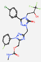 CNC(=O)OCc1nc(Cn2nc(-c3ccc(Cl)cc3)n(CC(O)C(F)(F)F)c2=O)nn1-c1cccc(F)c1